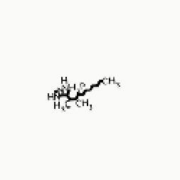 CCCCCC(P)CCC(C)C(C)C1CNN2CNC12